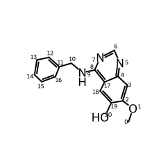 COc1cc2ncnc(NCc3ccccc3)c2cc1O